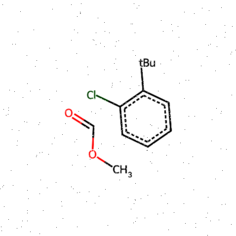 CC(C)(C)c1ccccc1Cl.COC=O